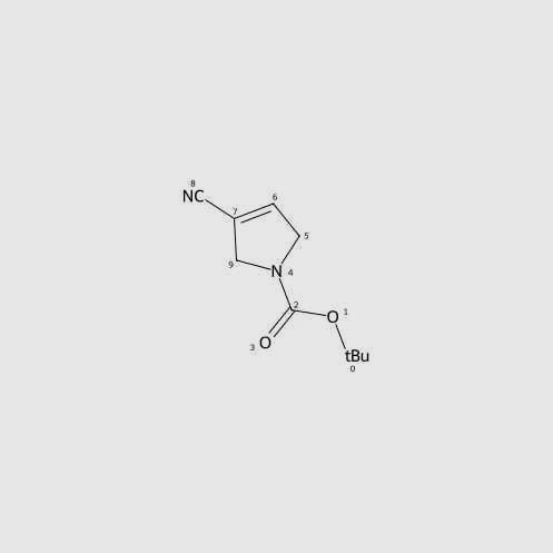 CC(C)(C)OC(=O)N1CC=C(C#N)C1